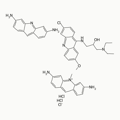 CCN(CC)CC(O)CNc1c2ccc(Cl)cc2nc2ccc(OC)cc12.C[n+]1c2cc(N)ccc2cc2ccc(N)cc21.Cl.Cl.Nc1ccc2cc3ccc(N)cc3nc2c1.[Cl-]